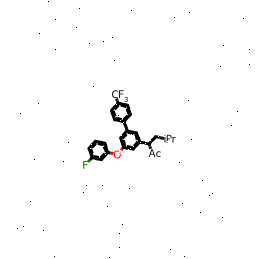 CC(=O)C(CC(C)C)c1cc(Oc2cccc(F)c2)cc(-c2ccc(C(F)(F)F)cc2)c1